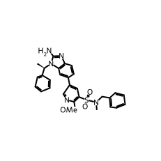 COc1ncc(-c2ccc3nc(N)n([C@H](C)c4ccccc4)c3c2)cc1S(=O)(=O)N(C)Cc1ccccc1